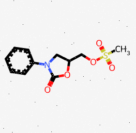 CS(=O)(=O)OCC1CN(c2ccccc2)C(=O)O1